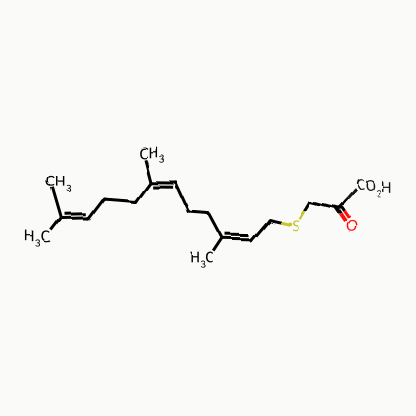 CC(C)=CCCC(C)=CCCC(C)=CCSCC(=O)C(=O)O